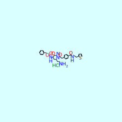 Cl.NCCCCC(NC(=O)OCc1ccccc1)C(=O)c1noc(Cc2ccc(C(=O)NCCc3cccs3)cc2)n1